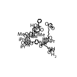 CC[C@H](C)[C@@H]([C@@H](CC(=O)N1CCC[C@H]1[C@H](OC)[C@@H](C)C(=O)N[C@H](C)[C@@H](O)c1ccccc1)OC)N(C)C(=O)[C@@H](NC(=O)[C@H](C(C)C)N(C)C(=O)OCc1ccc(NC(=O)[C@H](CCCNC(N)=O)NC[C@@H](NC(=O)CCCCCN2C(=O)C=CC2=O)C(C)C)cc1)C(C)C